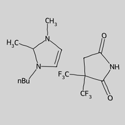 CCCCN1C=CN(C)C1C.O=C1CC(C(F)(F)F)(C(F)(F)F)C(=O)N1